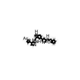 CC(=O)c1ccc(-c2ccnc3[nH]c(-c4n[nH]c5ccc(-c6cncc(NC(O)Cc7ccccc7)c6)cc45)nc23)s1